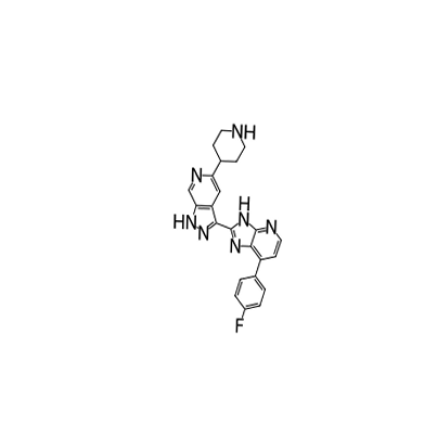 Fc1ccc(-c2ccnc3[nH]c(-c4n[nH]c5cnc(C6CCNCC6)cc45)nc23)cc1